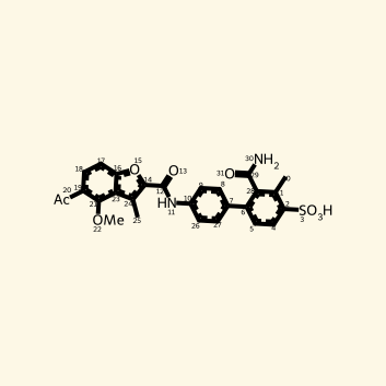 [CH2]c1c(S(=O)(=O)O)ccc(-c2ccc(NC(=O)c3oc4ccc(C(C)=O)c(OC)c4c3C)cc2)c1C(N)=O